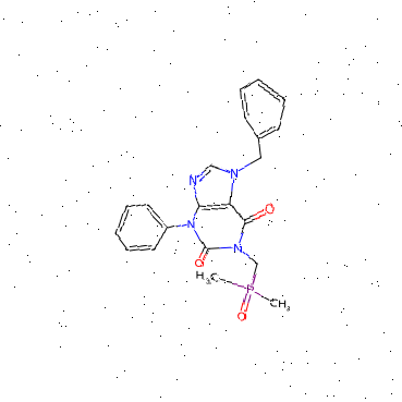 CP(C)(=O)Cn1c(=O)c2c(ncn2Cc2ccccc2)n(-c2ccccc2)c1=O